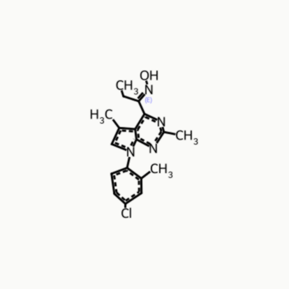 CC/C(=N\O)c1nc(C)nc2c1c(C)cn2-c1ccc(Cl)cc1C